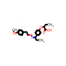 CCC(=NOCCc1ccc(OC)cc1)c1ccc(OC(CC)C(=O)O)cc1